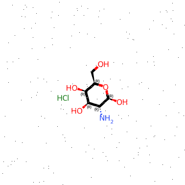 Cl.N[C@@H]1[C@@H](O)[C@@H](O)[C@@H](CO)O[C@H]1O